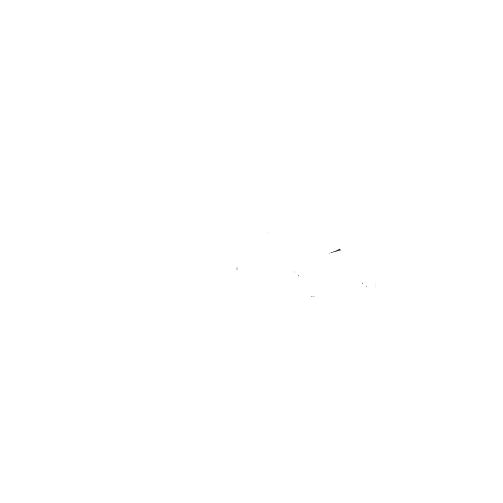 CC1S[C@@H]2C(N)C(=O)N2CC1(Oc1ccc([S+](C)[O-])cc1)C(=O)O